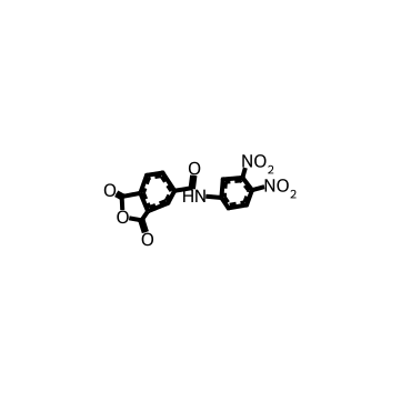 O=C(Nc1ccc([N+](=O)[O-])c([N+](=O)[O-])c1)c1ccc2c(c1)C(=O)OC2=O